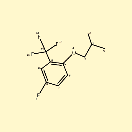 CC(C)COc1ccc(F)cc1C(F)(F)F